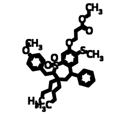 CCCCC1(CCCC)CC(c2ccccc2)c2cc(SC)c(OCCC(=O)OCC)cc2S(=O)(=O)C1Cc1ccc(OC)cc1